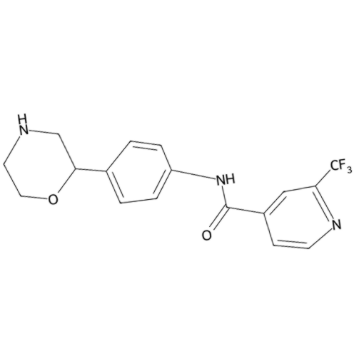 O=C(Nc1ccc(C2CNCCO2)cc1)c1ccnc(C(F)(F)F)c1